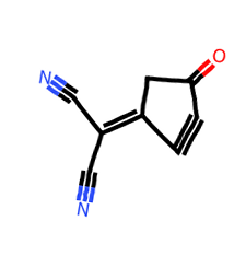 N#CC(C#N)=C1C#CC(=O)C1